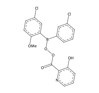 COc1ccc(Cl)cc1B(OOC(=O)c1ncccc1O)c1cccc(Cl)c1